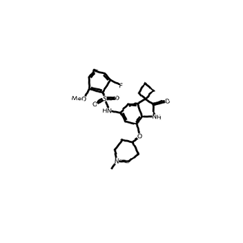 COc1cccc(F)c1S(=O)(=O)Nc1cc(OC2CCN(C)CC2)c2c(c1)C1(CCC1)C(=O)N2